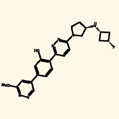 COc1cc(-c2ccc(-c3ccc(N4CC[C@@H](N[C@H]5C[C@@H](F)C5)C4)nn3)c(O)c2)cnn1